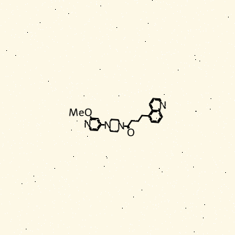 COc1cc(N2CCN(C(=O)CCCc3cccc4ncccc34)CC2)ccn1